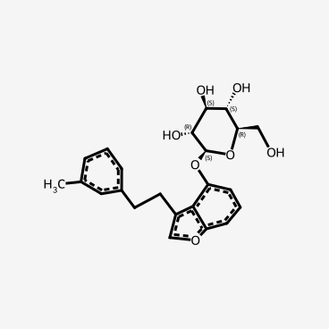 Cc1cccc(CCc2coc3cccc(O[C@@H]4O[C@H](CO)[C@@H](O)[C@H](O)[C@H]4O)c23)c1